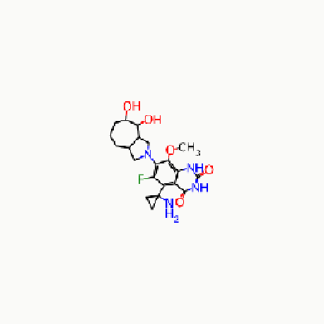 COc1c(N2CC3CCCC(O)C(O)C3C2)c(F)c(C2(N)CC2)c2c(=O)[nH]c(=O)[nH]c12